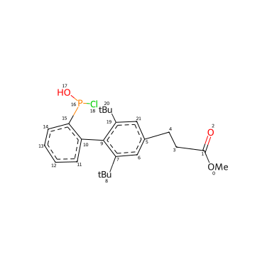 COC(=O)CCc1cc(C(C)(C)C)c(-c2ccccc2P(O)Cl)c(C(C)(C)C)c1